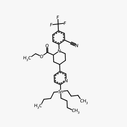 CCC[CH2][Sn]([CH2]CCC)([CH2]CCC)[c]1ccc(C2CCN(c3ccc(C(F)(F)F)cc3C#N)C(C(=O)OCC)C2)cn1